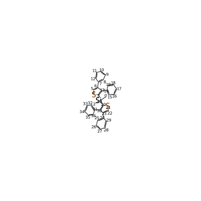 C[Si](C)(c1scc(-c2ccccc2)c1-c1ccccc1)c1scc(-c2ccccc2)c1-c1ccccc1